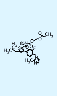 CCC(=O)OCCOC(=O)NS(=O)(=O)c1sc(CC(C)C)cc1-c1ccc(Cn2ccnc2C)c(F)c1